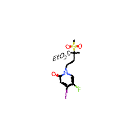 CCOC(=O)C(C)(CCn1cc(F)c(I)cc1=O)S(C)(=O)=O